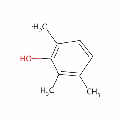 [CH2]c1ccc(C)c(C)c1O